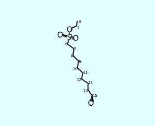 CCOS(=O)(=O)CCCCCCCCC[C]=O